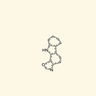 c1ccc2c(c1)[nH]c1c2ccc2ncoc21